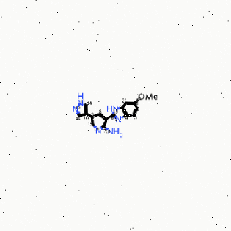 COc1ccc2nc(C3=CC(c4cn[nH]c4)CN=C3N)[nH]c2c1